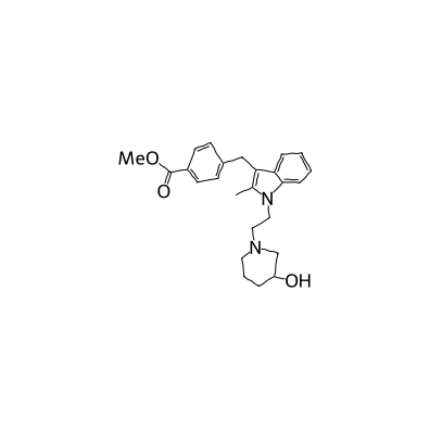 COC(=O)c1ccc(Cc2c(C)n(CCN3CCCC(O)C3)c3ccccc23)cc1